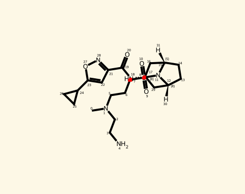 CN(CCN)CCCS(=O)(=O)N1[C@@H]2CC[C@H]1C[C@@H](NC(=O)c1cc(C3CC3)on1)C2